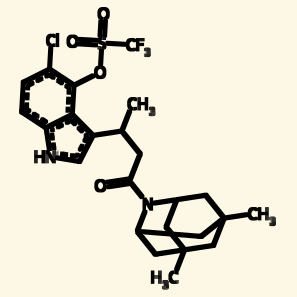 CC(CC(=O)N1C2CC3(C)CC1CC(C)(C2)C3)c1c[nH]c2ccc(Cl)c(OS(=O)(=O)C(F)(F)F)c12